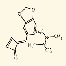 CN(C)N(C)C.O=C1C=CC1=Cc1ccc2c(c1)OCO2